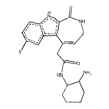 NC1CCCCC1NC(=O)CC1=CCNC(=O)c2[nH]c3ccc(F)cc3c21